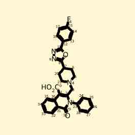 O=C(O)c1c(CN2CCC(c3nnc(-c4ccc(F)cc4)o3)CC2)n(-c2ccccc2)c(=O)c2ccccc12